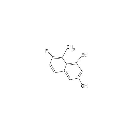 CCc1cc(O)cc2ccc(F)c(C)c12